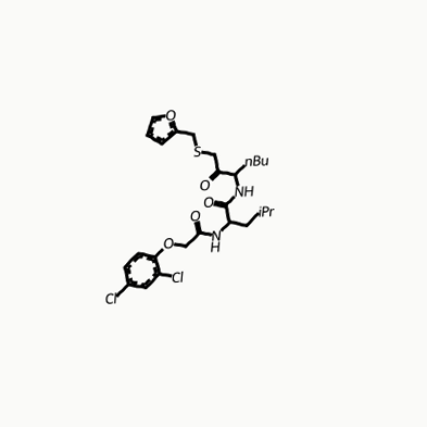 CCCCC(NC(=O)C(CC(C)C)NC(=O)COc1ccc(Cl)cc1Cl)C(=O)CSCc1ccco1